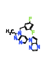 Cc1nc2ncc(-n3ccc4nccnc43)cc2n1Cc1cc(F)cc(F)c1